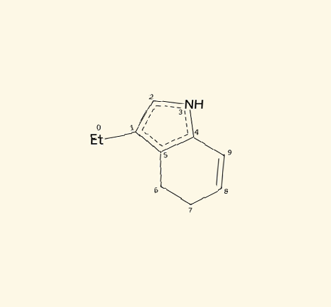 CCc1c[nH]c2c1CCC=C2